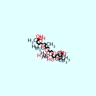 CC[C@@]1([C@@H]2O[C@@H]([C@H]3OC(O)(CO)[C@H](C)C[C@@H]3C)C[C@@H]2C)CC[C@H]([C@]2(C)CC[C@]3(C[C@H](O)[C@@H](C)[C@@H]([C@@H](C)[C@@H](OC)[C@H](C)C(=O)[O-])O3)O2)O1.O.[Na+]